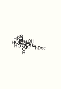 CCCCCCCCCCCCO[C@@H]1OC(CO)[C@@H](O[C@H]2OC(CO)[C@@H](O)[C@H](O)C2O)[C@H](O)C1O